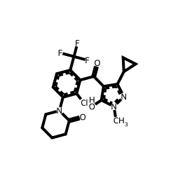 Cn1nc(C2CC2)c(C(=O)c2c(C(F)(F)F)ccc(N3CCCCC3=O)c2Cl)c1O